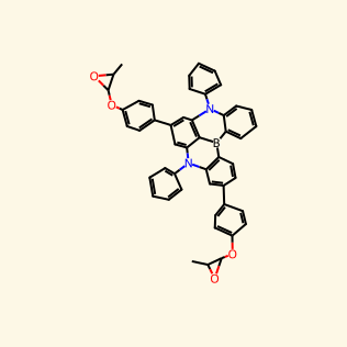 CC1OC1Oc1ccc(-c2ccc3c(c2)N(c2ccccc2)c2cc(-c4ccc(OC5OC5C)cc4)cc4c2B3c2ccccc2N4c2ccccc2)cc1